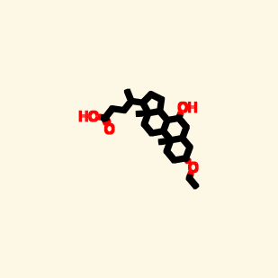 CCOC1CCC2(C)C(C1)CC(O)C1C2CCC2(C)C(C(C)CCC(=O)O)CCC12